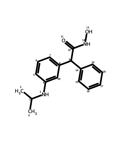 CC(C)Nc1cccc(C(C(=O)NO)c2ccccc2)c1